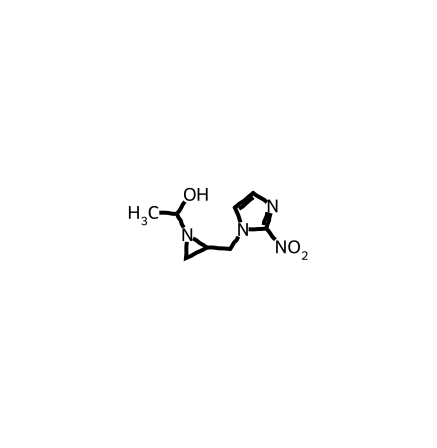 CC(O)N1CC1Cn1ccnc1[N+](=O)[O-]